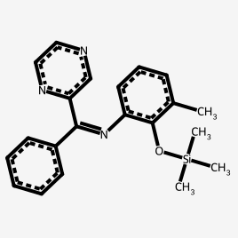 Cc1cccc(N=C(c2ccccc2)c2cnccn2)c1O[Si](C)(C)C